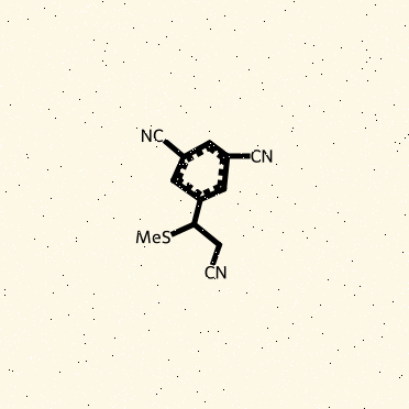 CSC(CC#N)c1cc(C#N)cc(C#N)c1